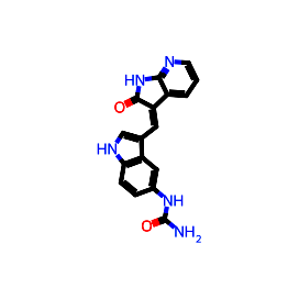 NC(=O)Nc1ccc2[nH]cc(C=C3C(=O)Nc4ncccc43)c2c1